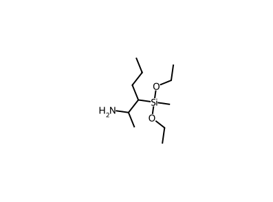 CCCC(C(C)N)[Si](C)(OCC)OCC